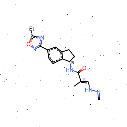 C=NN/C=C(\C)C(=O)N[C@@H]1CCc2cc(-c3noc(CC)n3)ccc21